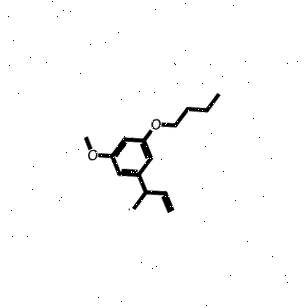 [CH2]C(C=C)c1cc(OC)cc(OCCCC)c1